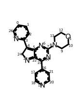 c1ccc(C2=c3nc(N4CCOCC4)nc(-c4ccncc4)c3=NC2)nc1